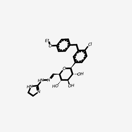 CCOc1ccc(Cc2cc([C@@H]3O[C@H](/C=N/NC4=NCCN4)[C@@H](O)[C@H](O)[C@H]3O)ccc2Cl)cc1